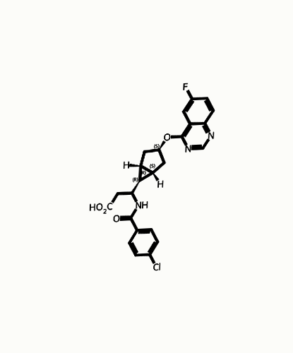 O=C(O)CC(NC(=O)c1ccc(Cl)cc1)[C@H]1[C@@H]2C[C@@H](Oc3ncnc4ccc(F)cc34)C[C@@H]21